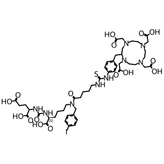 O=C(O)CCC(NC(=O)N[C@@H](CCCCN(Cc1ccc(I)cc1)C(=O)CCCCNC(=S)Nc1ccc(CC2CN(CC(=O)O)CCN(CC(=O)O)CCN(CC(=O)O)CCN2CC(=O)O)cc1)C(=O)O)C(=O)O